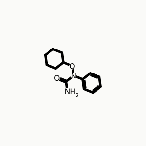 NC(=O)N(OC1CCCCC1)c1ccccc1